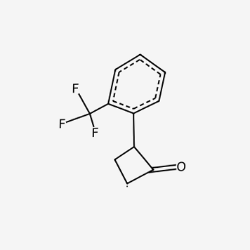 O=C1[CH]CC1c1ccccc1C(F)(F)F